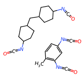 Cc1ccc(N=C=O)cc1N=C=O.O=C=NC1CCC(CC2CCC(N=C=O)CC2)CC1